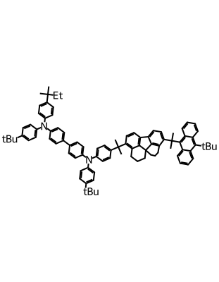 CCC(C)(C)c1ccc(N(c2ccc(-c3ccc(N(c4ccc(C(C)(C)C)cc4)c4ccc(C(C)(C)c5ccc6c7c5CCCC75CCCc7c(C(C)(C)c8c9ccccc9c(C(C)(C)C)c9ccccc89)ccc-6c75)cc4)cc3)cc2)c2ccc(C(C)(C)C)cc2)cc1